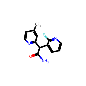 NC(=O)C(c1cc(C(F)(F)F)ccn1)c1cccnc1F